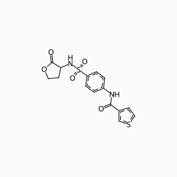 O=C(Nc1ccc(S(=O)(=O)NC2CCOC2=O)cc1)c1ccsc1